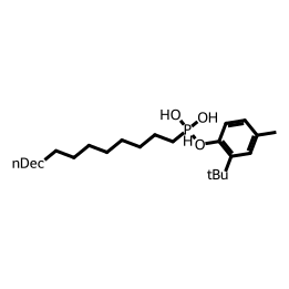 CCCCCCCCCCCCCCCCCC[PH](O)(O)Oc1ccc(C)cc1C(C)(C)C